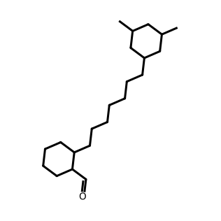 CC1CC(C)CC(CCCCCCCC2CCCCC2C=O)C1